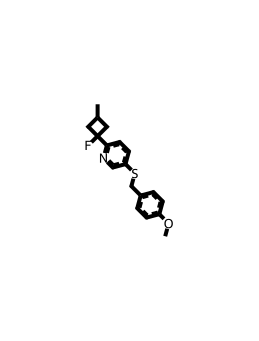 COc1ccc(CSc2ccc(C3(F)CC(C)C3)nc2)cc1